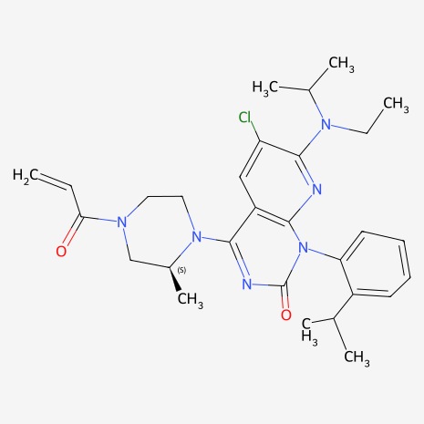 C=CC(=O)N1CCN(c2nc(=O)n(-c3ccccc3C(C)C)c3nc(N(CC)C(C)C)c(Cl)cc23)[C@@H](C)C1